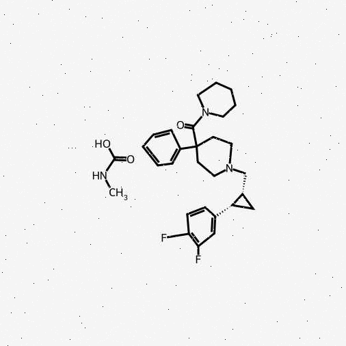 CNC(=O)O.O=C(N1CCCCC1)C1(c2ccccc2)CCN(C[C@@H]2C[C@@H]2c2ccc(F)c(F)c2)CC1